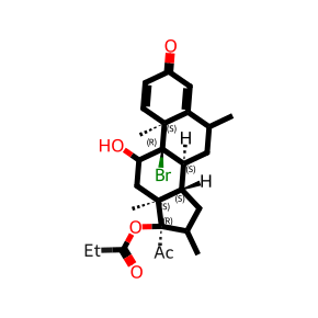 CCC(=O)O[C@]1(C(C)=O)C(C)C[C@H]2[C@@H]3CC(C)C4=CC(=O)C=C[C@]4(C)[C@@]3(Br)C(O)C[C@@]21C